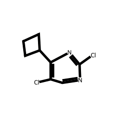 Clc1ncc(Cl)c(C2CCC2)n1